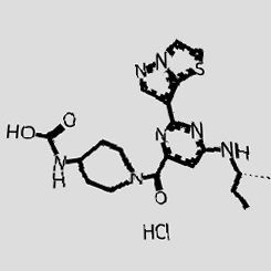 CC[C@@H](C)Nc1cc(C(=O)N2CCC(NC(=O)O)CC2)nc(-c2cnn3ccsc23)n1.Cl